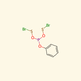 BrSOP(OSBr)Oc1ccccc1